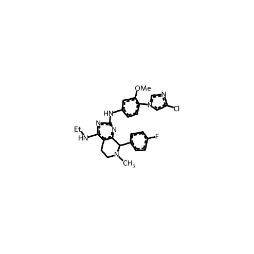 CCNc1nc(Nc2ccc(-n3cnc(Cl)c3)c(OC)c2)nc2c1CCN(C)C2c1ccc(F)cc1